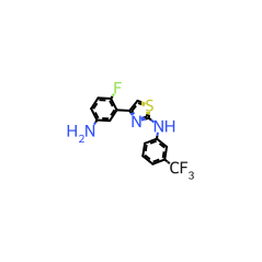 Nc1ccc(F)c(-c2csc(Nc3cccc(C(F)(F)F)c3)n2)c1